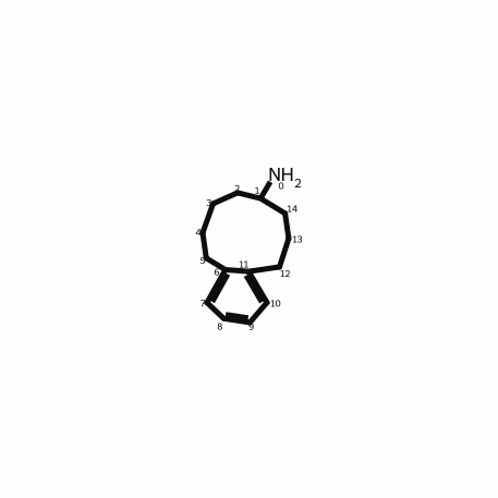 NC1CCCCc2ccccc2CCC1